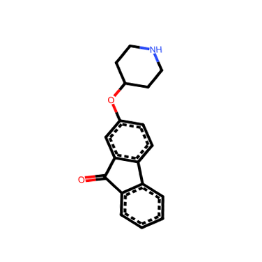 O=C1c2ccccc2-c2ccc(OC3CCNCC3)cc21